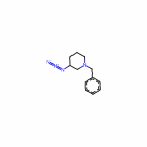 [N-]=[N+]=NC1CCCN(Cc2ccccc2)C1